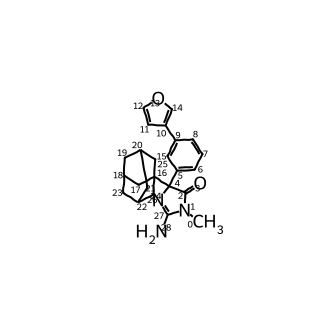 CN1C(=O)C(c2cccc(-c3ccoc3)c2)(C23CC4CC(CC(C4)C2)C3)N=C1N